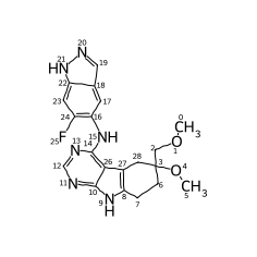 COCC1(OC)CCc2[nH]c3ncnc(Nc4cc5cn[nH]c5cc4F)c3c2C1